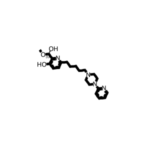 CO[C@H](O)c1nc(CCCCCN2CCN(c3ccccn3)CC2)ccc1O